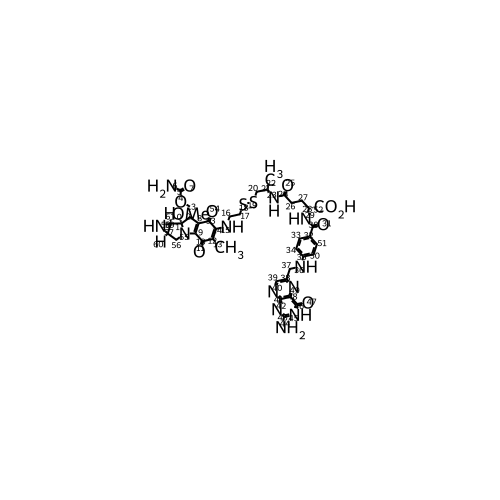 CO[C@@]12[C@H](COC(N)=O)C3=C(C(=O)C(C)=C(NCCSSC[C@@H](C)NC(=O)CC[C@@H](NC(=O)c4ccc(NCc5cnc6nc(N)[nH]c(=O)c6n5)cc4)C(=O)O)C3=O)N1C[C@@H]1N[C@@H]12